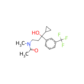 CC(=O)N(C)CCC(O)(c1cccc(C(F)(F)F)c1)C1CC1